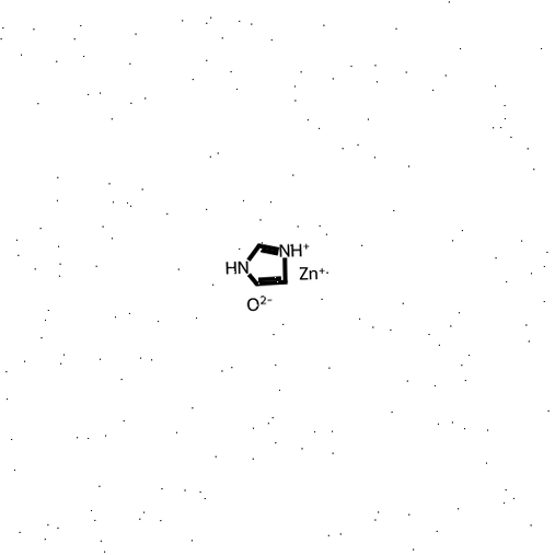 [O-2].[Zn+].c1c[nH+]c[nH]1